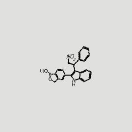 O=[N+]([O-])CC(c1ccccc1)c1c(-c2ccc3c(c2)COB3O)[nH]c2ccccc12